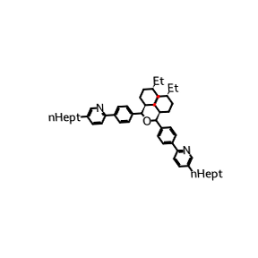 CCCCCCCc1ccc(-c2ccc(C(OC(c3ccc(-c4ccc(CCCCCCC)cn4)cc3)[C@H]3CC[C@H](CC)CC3)[C@H]3CC[C@H](CC)CC3)cc2)nc1